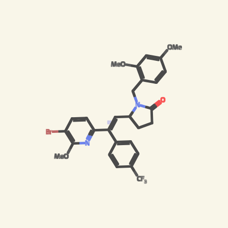 COc1ccc(CN2C(=O)CCC2/C=C(\c2ccc(C(F)(F)F)cc2)c2ccc(Br)c(OC)n2)c(OC)c1